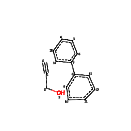 C#CCO.c1ccc(-c2ccccc2)cc1